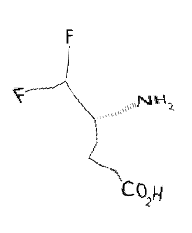 N[C@H](CC(=O)O)C(F)F